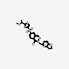 COC(C)c1nc(S(=O)(=O)c2ccc3c(=O)n(Cc4ccc5c(n4)CCO5)ncc3c2)cs1